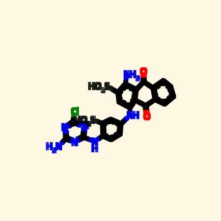 Nc1nc(Cl)nc(Nc2ccc(Nc3cc(S(=O)(=O)O)c(N)c4c3C(=O)c3ccccc3C4=O)cc2S(=O)(=O)O)n1